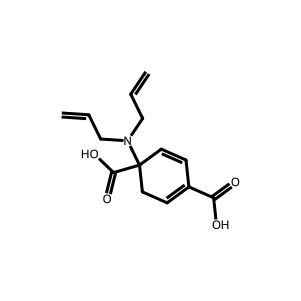 C=CCN(CC=C)C1(C(=O)O)C=CC(C(=O)O)=CC1